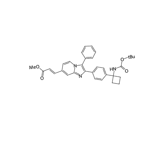 COC(=O)/C=C/c1ccn2c(-c3ccccc3)c(-c3ccc(C4(NC(=O)OC(C)(C)C)CCC4)cc3)nc2c1